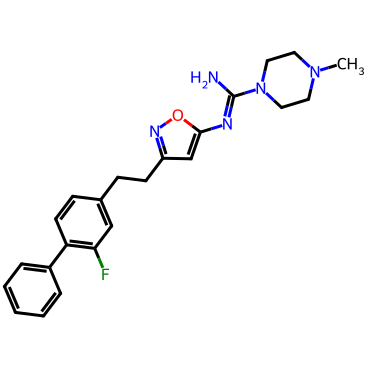 CN1CCN(C(N)=Nc2cc(CCc3ccc(-c4ccccc4)c(F)c3)no2)CC1